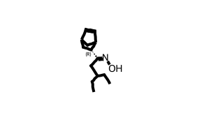 CCC(CC)CC(=NO)[C@@H]1CC2C=CC1C2